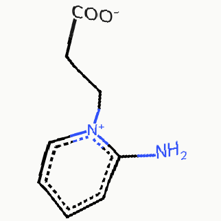 Nc1cccc[n+]1CCC(=O)[O-]